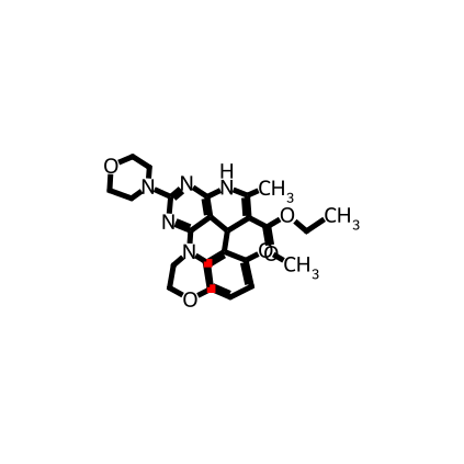 CCOC(=O)C1=C(C)Nc2nc(N3CCOCC3)nc(N3CCOCC3)c2C1c1ccccc1OC